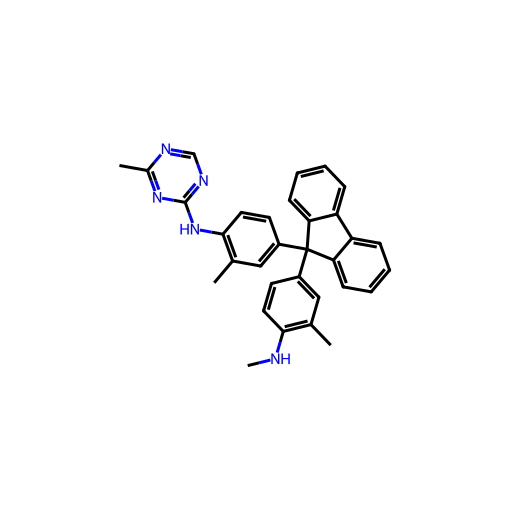 CNc1ccc(C2(c3ccc(Nc4ncnc(C)n4)c(C)c3)c3ccccc3-c3ccccc32)cc1C